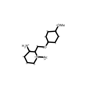 COC1CCC(OCC2C(N)CCCN2C(C)=O)CC1